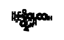 CC(C)n1c(=O)c2cnc(Nc3ccc4c(c3)CNCC4)nc2n1-c1cccc(C2(C#N)CC2)n1